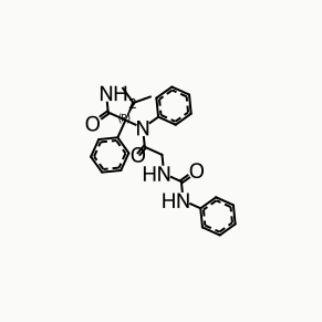 CC(C)[C@](C(N)=O)(c1ccccc1)N(C(=O)CNC(=O)Nc1ccccc1)c1ccccc1